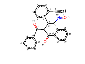 C#Cc1ccccc1[C@@H](CN=O)C(C(=O)c1ccccc1)C(=O)c1ccccc1